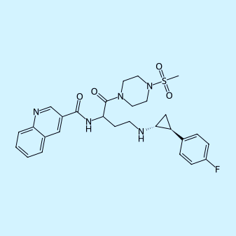 CS(=O)(=O)N1CCN(C(=O)C(CCN[C@@H]2C[C@H]2c2ccc(F)cc2)NC(=O)c2cnc3ccccc3c2)CC1